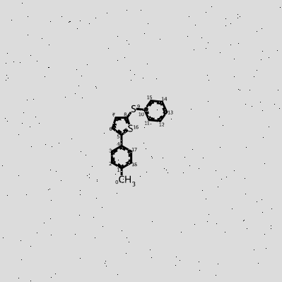 Cc1ccc(-c2ccc(Sc3ccccc3)s2)cc1